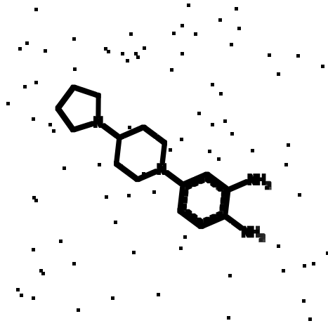 Nc1ccc(N2CCC(N3CCCC3)CC2)cc1N